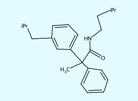 CC(C)CCNC(=O)C(C)(c1ccccc1)c1cccc(CC(C)C)c1